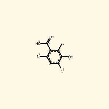 Cc1c(O)c(Cl)cc(Br)c1C(=O)O